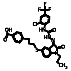 CCCN1C(=O)/C(=N/NC(=O)Nc2ccc(C(F)(F)F)cc2Cl)c2cc(SCCCc3ccc(C(=O)O)cc3)ccc21